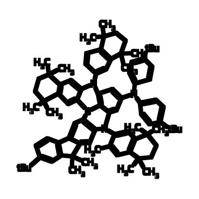 Cc1cc2c(cc1N1c3cc4c(cc3B3c5cc6c(cc5N(c5ccc7c(c5)C(C)(C)CCC7(C)C)c5cc(N(c7ccc(C(C)(C)C)cc7)c7ccc(C(C)(C)C)cc7)cc1c53)C(C)(C)CCC6(C)C)-c1ccc(C(C)(C)C)cc1C4(C)C)C(C)(C)CCC2(C)C